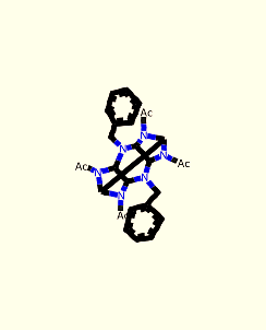 CC(=O)N1C2C3N(Cc4ccccc4)C4C(N2Cc2ccccc2)N(C(C)=O)C(C1N3C(C)=O)N4C(C)=O